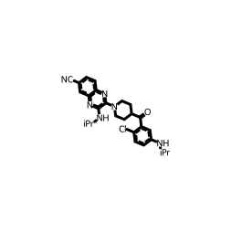 CC(C)Nc1ccc(Cl)c(C(=O)C2CCN(c3nc4ccc(C#N)cc4nc3NC(C)C)CC2)c1